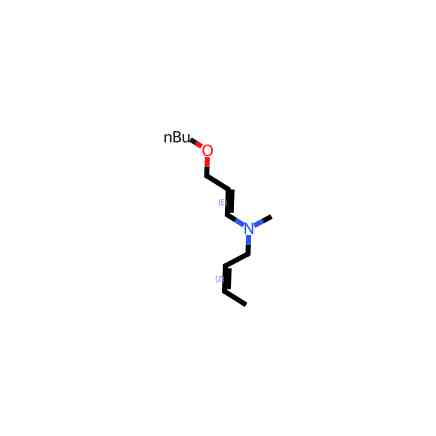 C/C=C\CN(C)/C=C/COCCCC